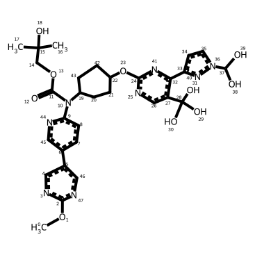 COc1ncc(-c2ccc(N(C(=O)OCC(C)(C)O)C3CCC(Oc4ncc(C(O)(O)O)c(-c5ccn(C(O)O)n5)n4)CC3)nc2)cn1